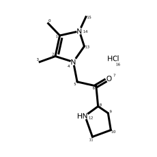 CC1=C(C)N(CC(=O)C2CCCN2)CN1C.Cl